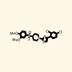 COc1ccc(S(=O)(=O)C2CCN(c3nc(-c4ccc(Cl)cc4Cl)cs3)CC2)cc1OC